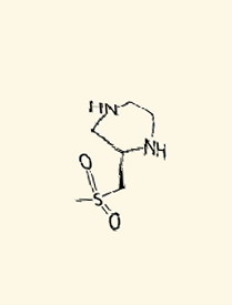 CS(=O)(=O)C[C@H]1CNCCN1